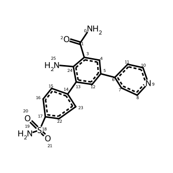 NC(=O)c1cc(-c2ccncc2)cc(-c2ccc(S(N)(=O)=O)cc2)c1N